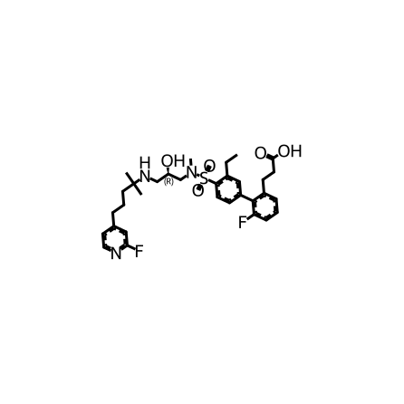 CCc1cc(-c2c(F)cccc2CCC(=O)O)ccc1S(=O)(=O)N(C)C[C@H](O)CNC(C)(C)CCCc1ccnc(F)c1